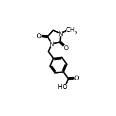 CN1CC(=O)N(Cc2ccc(C(=O)O)cc2)C1=O